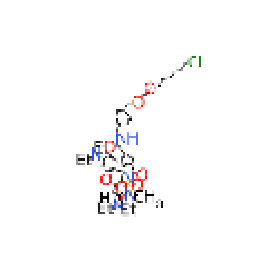 CCN(CC)c1ccc2c(c1)Oc1cc(N(CC)CC)ccc1C21c2cc(C(=O)NCc3ccc(COCCOCCCCCCCl)cc3)ccc2C(=O)N1S(=O)(=O)N(C)C